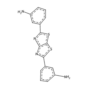 Nc1cccc(-c2nc3nc(-c4cccc(N)c4)sc3s2)c1